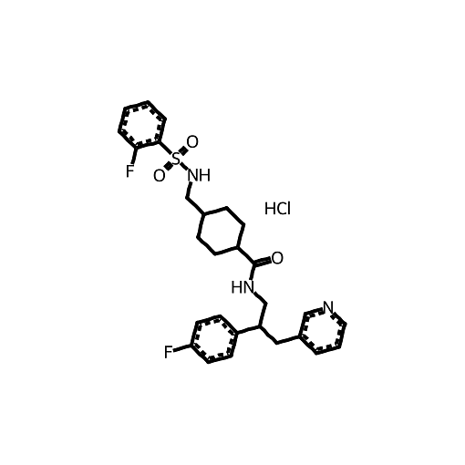 Cl.O=C(NCC(Cc1cccnc1)c1ccc(F)cc1)C1CCC(CNS(=O)(=O)c2ccccc2F)CC1